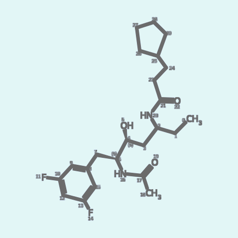 CCC(C[C@H](O)[C@H](Cc1cc(F)cc(F)c1)NC(C)=O)NC(=O)CCC1CCCC1